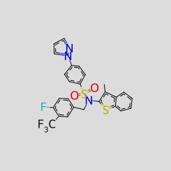 Cc1c(N(Cc2ccc(F)c(C(F)(F)F)c2)S(=O)(=O)c2ccc(-n3cccn3)cc2)sc2ccccc12